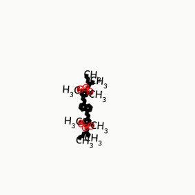 CCCCC(CC)COc1c(OC)cc(/C=C/c2cccc3c(/C=C/c4cc(OC)c(OCC(CC)CCCC)c(OC)c4)cccc23)cc1OC